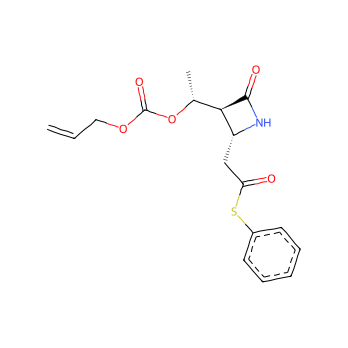 C=CCOC(=O)O[C@H](C)[C@H]1C(=O)N[C@@H]1CC(=O)Sc1ccccc1